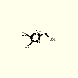 CCc1nc(CC(C)(C)C)[nH]c1CC